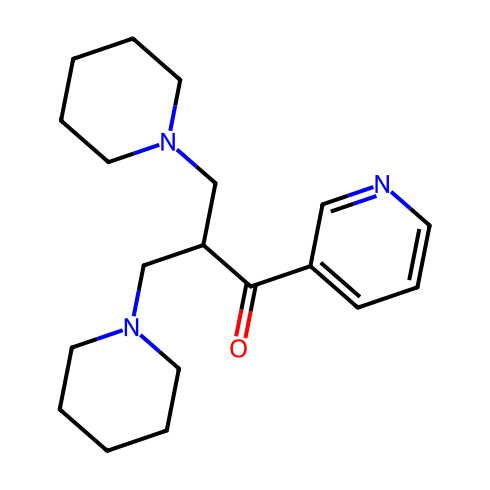 O=C(c1cccnc1)C(CN1CCCCC1)CN1CCCCC1